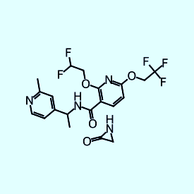 Cc1cc(C(C)NC(=O)c2ccc(OCC(F)(F)F)nc2OCC(F)F)ccn1.O=C1CN1